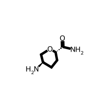 NC(=O)[C@@H]1CC[C@@H](N)CO1